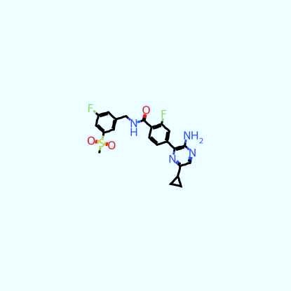 CS(=O)(=O)c1cc(F)cc(CNC(=O)c2ccc(-c3nc(C4CC4)cnc3N)cc2F)c1